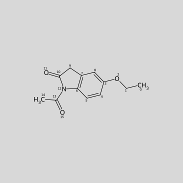 CCOc1ccc2c(c1)CC(=O)N2C(C)=O